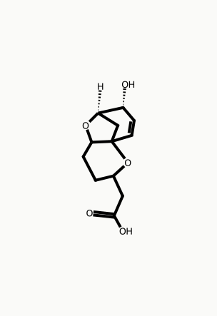 O=C(O)CC1CCC2O[C@@H]3CC2(C=C[C@H]3O)O1